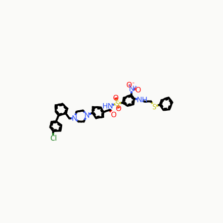 O=C(NS(=O)(=O)c1ccc(NCCSc2ccccc2)c([N+](=O)[O-])c1)c1ccc(N2CCN(Cc3ccccc3-c3ccc(Cl)cc3)CC2)cc1